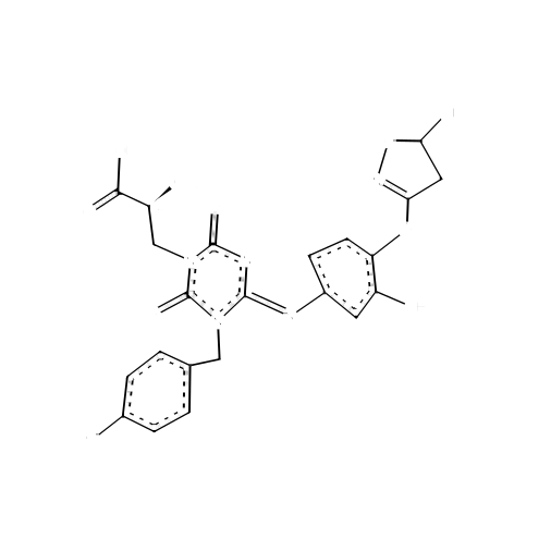 Cc1cc(/N=c2\[nH]c(=O)n(C[C@H](C)C(=O)O)c(=O)n2Cc2ccc(Cl)cc2)ccc1OC1=NOC(C)C1